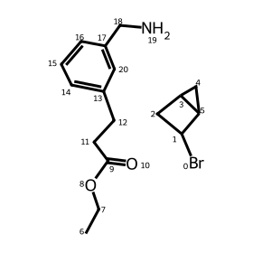 BrC1CC2CC12.CCOC(=O)CCc1cccc(CN)c1